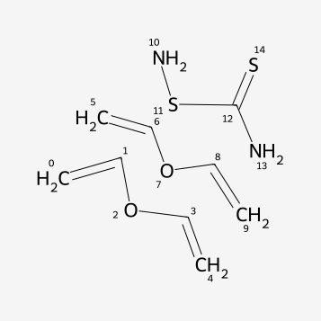 C=COC=C.C=COC=C.NSC(N)=S